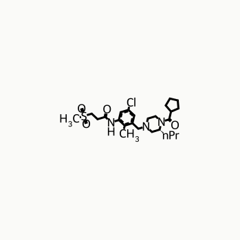 CCC[C@@H]1CN(Cc2cc(Cl)cc(NC(=O)CCS(C)(=O)=O)c2C)CCN1C(=O)C1CCCC1